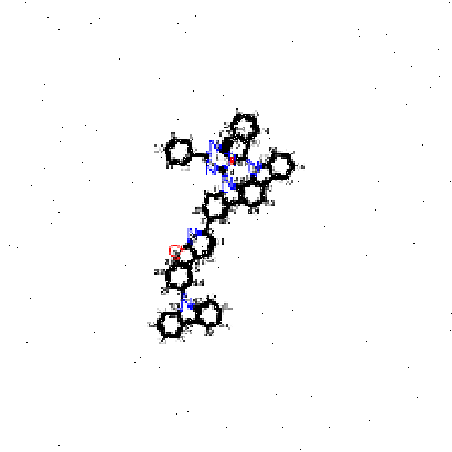 c1ccc(-c2nc(-c3ccccc3)nc(-n3c4ccc(-c5ccc6c(n5)oc5ccc(-n7c8ccccc8c8ccccc87)cc56)cc4c4ccc5c6ccccc6n(-c6ccccc6)c5c43)n2)cc1